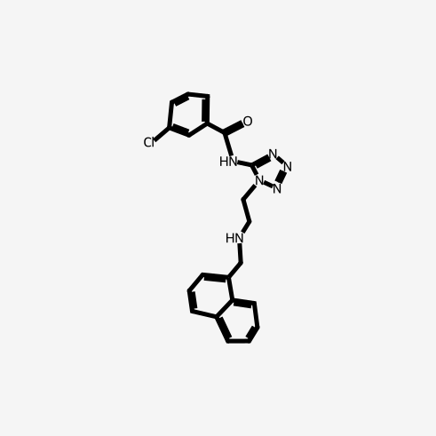 O=C(Nc1nnnn1CCNCc1cccc2ccccc12)c1cccc(Cl)c1